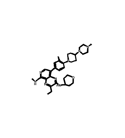 CCc1nc2c(NC)ncc(-c3ccc(N4CCC(N5CCN(C)CC5)CC4)c(C)c3)c2nc1NC1CCOCC1